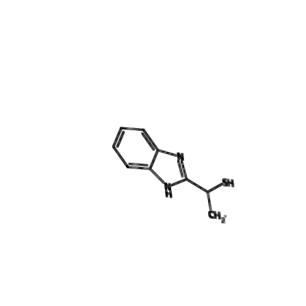 [CH2]C(S)c1nc2ccccc2[nH]1